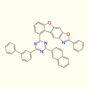 c1ccc(-c2cccc(-c3nc(-c4ccc5ccccc5c4)nc(-c4cccc5oc6cc7oc(-c8ccccc8)nc7cc6c45)n3)c2)cc1